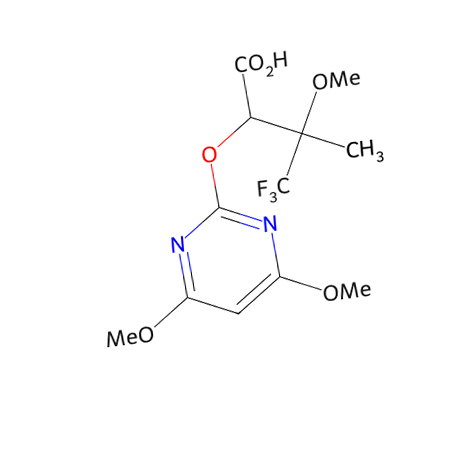 COc1cc(OC)nc(OC(C(=O)O)C(C)(OC)C(F)(F)F)n1